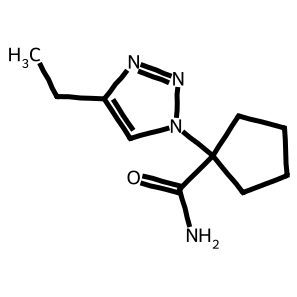 CCc1cn(C2(C(N)=O)CCCC2)nn1